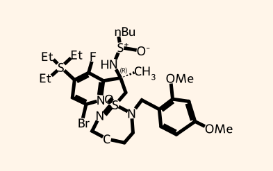 CCCC[S+]([O-])N[C@@](C)(CS1(=O)=NCCCCN1Cc1ccc(OC)cc1OC)c1nc(Br)cc(S(CC)(CC)CC)c1F